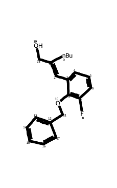 CCCC/C(=C\c1cccc(F)c1OCc1ccccc1)CO